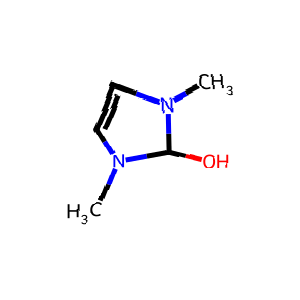 CN1C=CN(C)C1O